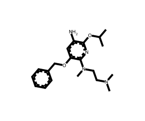 CC(C)Oc1nc(N(C)CCN(C)C)c(OCc2ccccc2)cc1N